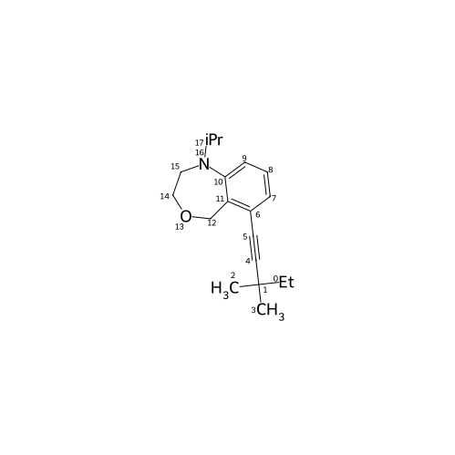 CCC(C)(C)C#Cc1cccc2c1COCCN2C(C)C